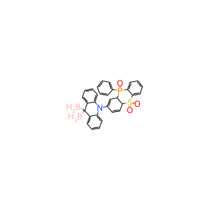 BC1(B)c2ccccc2N(C2=CC3C(C=C2)S(=O)(=O)c2ccccc2P3(=O)c2ccccc2)c2ccccc21